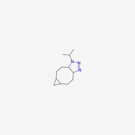 CC(C)N1N=NC2CCC3CC3CCC21